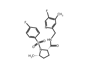 Cc1cc(CNC(=O)[C@@H]2CC[C@H](C)N2S(=O)(=O)c2ccc(F)cc2)ncc1F